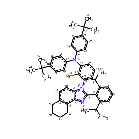 CC(C)c1cccc(C(C)C)c1-c1nc2c3c(ccc2n1-c1cccc(N(c2ccc(C(C)(C)C)cc2)c2ccc(C(C)(C)C)cc2)c1Br)CCCC3